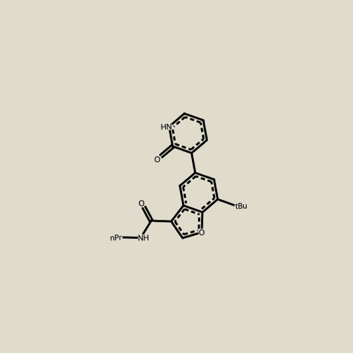 CCCNC(=O)c1coc2c(C(C)(C)C)cc(-c3ccc[nH]c3=O)cc12